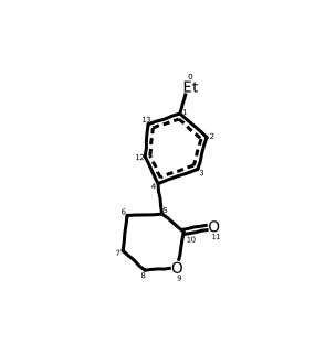 CCc1ccc(C2CCCOC2=O)cc1